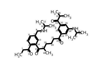 CCC(=O)c1ccc(CNC(C)C)cc1C(=O)C(C)CCCC(=O)c1cc(NC(C)C)cc(C(=O)C(C)C)c1